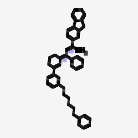 N/C(=C\C(=C1\C=C(c2cccc(CCCCCCc3ccccc3)c2)C=CC1)c1ccccc1)c1ccc2c(c1)Cc1ccccc1-2